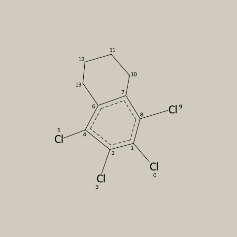 Clc1c(Cl)c(Cl)c2c(c1Cl)CCCC2